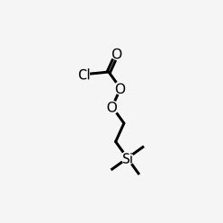 C[Si](C)(C)CCOOC(=O)Cl